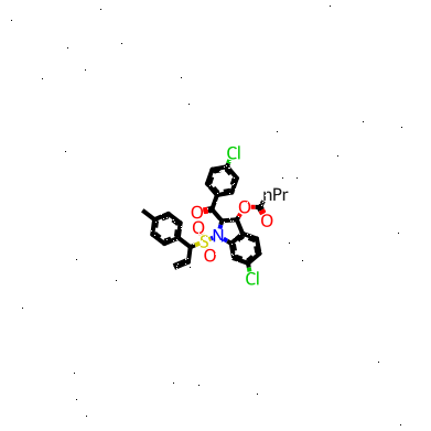 C=CC(c1ccc(C)cc1)S(=O)(=O)N1c2cc(Cl)ccc2C(OC(=O)CCC)C1C(=O)c1ccc(Cl)cc1